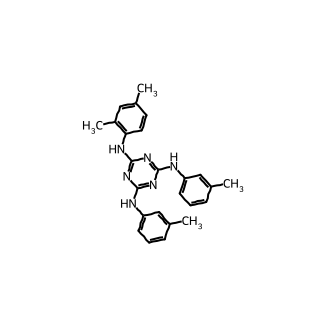 Cc1cccc(Nc2nc(Nc3cccc(C)c3)nc(Nc3ccc(C)cc3C)n2)c1